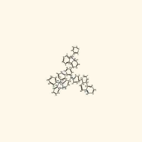 c1ccc(-n2c3ccccc3c3c(-c4cccc(N(c5ccc(-c6cccc7c6ccc6ccccc67)cc5)c5ccc6c(c5)C(c5ccccc5)(c5ccccc5)c5ccccc5-6)c4)cccc32)cc1